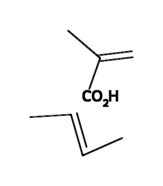 C=C(C)C(=O)O.CC=CC